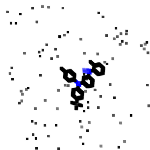 Cc1ccc(N(c2ccc([Si](C)(C)C)cc2)c2cccc(Nc3ccccc3C)c2)cc1